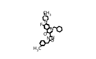 Cc1cccc(Cc2nc(-c3cn(CC4CCCCC4)c4cc(N5CCN(C)CC5)c(F)cc4c3=O)no2)c1